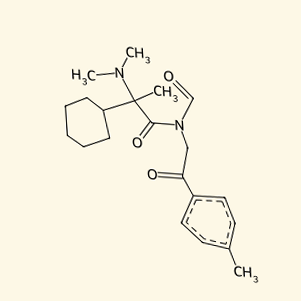 Cc1ccc(C(=O)CN(C=O)C(=O)C(C)(C2CCCCC2)N(C)C)cc1